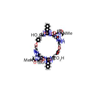 CN[C@@H](C)C(=O)N[C@H](C(=O)N1C[C@@H]2C[C@H]1C(=O)N[C@@H](Cc1ccc3ccccc3c1)C(=O)N[C@@H](C(=O)O)Cc1ccc(cc1)OCc1cn(nn1)[C@H]1C[C@@H](C(=O)N[C@@H](Cc3ccc4ccccc4c3)C(=O)N[C@@H](C(=O)O)Cc3ccc(cc3)OCC3=CN2NN3)N(C(=O)[C@@H](NC(=O)[C@H](C)NC)C(C)(C)C)C1)C(C)(C)C